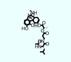 CC[C@]12c3c4ccc(O)c3O[C@H]1C(OC(=O)[C@H](C)OC(=O)CCNC(=O)[C@H](CC(C)C)NC(C)=O)=CC[C@@]2(O)[C@H](NC)C4